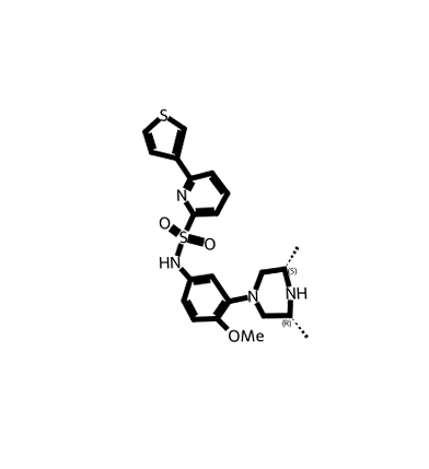 COc1ccc(NS(=O)(=O)c2cccc(-c3ccsc3)n2)cc1N1C[C@@H](C)N[C@@H](C)C1